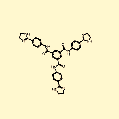 O=C(Nc1ccc(C2=NCCN2)cc1)c1cc(C(=O)Nc2ccc(C3=NCCN3)cc2)cc(C(=O)Nc2ccc(C3=NCCN3)cc2)c1